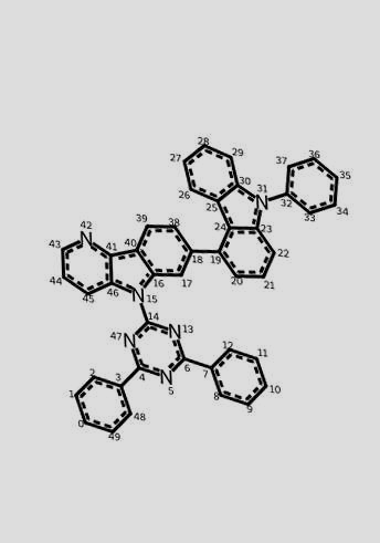 c1ccc(-c2nc(-c3ccccc3)nc(-n3c4cc(-c5cccc6c5c5ccccc5n6-c5ccccc5)ccc4c4ncccc43)n2)cc1